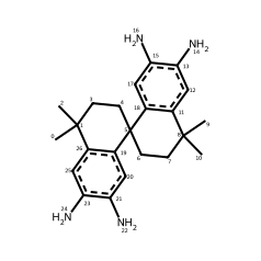 CC1(C)CCC2(CCC(C)(C)c3cc(N)c(N)cc32)c2cc(N)c(N)cc21